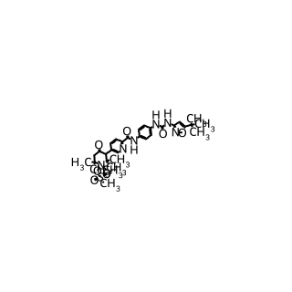 CC(C)(C)c1cc(NC(=O)Nc2ccc(NC(=O)c3ccc(C4C(=O)CC(C)(C)[N+](C)(OS(C)(=O)=O)C4(C)C)cn3)cc2)no1